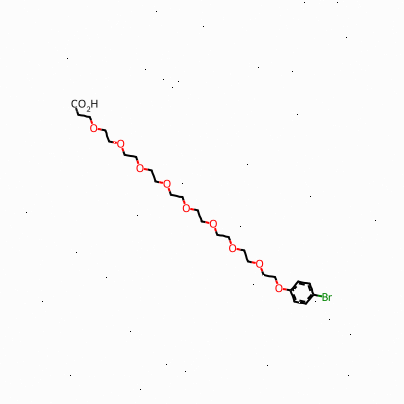 O=C(O)CCOCCOCCOCCOCCOCCOCCOCCOCCOc1ccc(Br)cc1